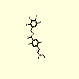 CCN(C)/C=N/c1cc(C)c(C(=O)OCc2cc(F)c(F)c(F)c2F)cc1C